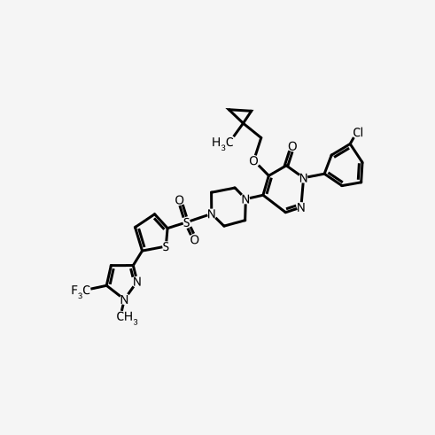 Cn1nc(-c2ccc(S(=O)(=O)N3CCN(c4cnn(-c5cccc(Cl)c5)c(=O)c4OCC4(C)CC4)CC3)s2)cc1C(F)(F)F